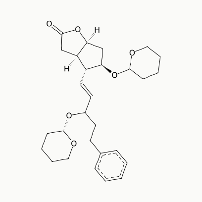 O=C1C[C@@H]2[C@@H](/C=C/C(CCc3ccccc3)O[C@H]3CCCCO3)[C@H](OC3CCCCO3)C[C@@H]2O1